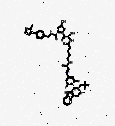 Cc1ncsc1-c1ccc(CNC(=O)[C@@H]2C[C@@H](O)CN2C(=O)C(NC(=O)CCCCNC(=O)/C=C/c2cc(F)c([C@@H]3c4[nH]c5ccccc5c4C[C@@H](C)N3CC(C)(C)F)c(F)c2)C(C)(C)C)cc1